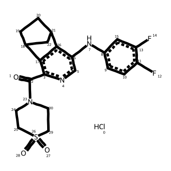 Cl.O=C(c1ncc(Nc2ccc(F)c(F)c2)c2c1C1CCC2C1)N1CCS(=O)(=O)CC1